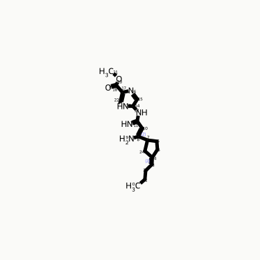 CCC/C=C1/CCC(/C(N)=C/C(=N)NC2C=NC(C(=O)OC)=CN2)C1